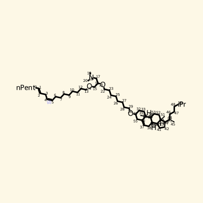 CCCCCC=CC/C=C\CCCCCCCCOCC(CN(C)C)OCCCCCCCCOC1CC[C@@]2(C)C(=CC[C@H]3[C@@H]4CC[C@H]([C@H](C)CCCC(C)C)[C@@]4(C)CC[C@@H]32)C1